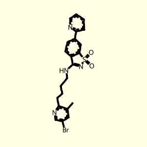 Cc1cc(Br)cnc1CCCCNC1=NS(=O)(=O)c2cc(-c3ccccn3)ccc21